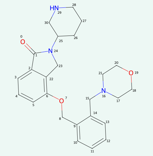 O=C1c2cccc(OCc3ccccc3CN3CCOCC3)c2CN1C1CCCNC1